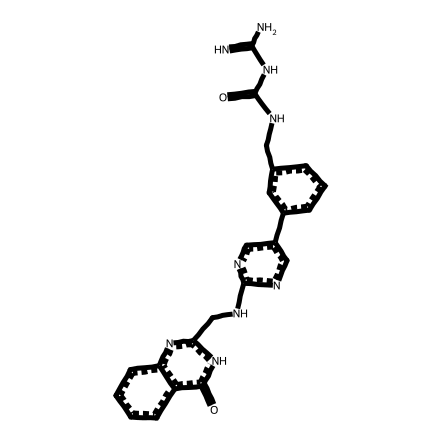 N=C(N)NC(=O)NCc1cccc(-c2cnc(NCc3nc4ccccc4c(=O)[nH]3)nc2)c1